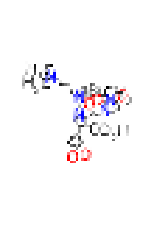 CCCCN(CCCCN(C)C)C(=O)CN1C[C@H](c2ccc3c(c2)OCO3)[C@@H](C(=O)O)[C@@H]1CCN1CCC(=O)N(C)C1=O